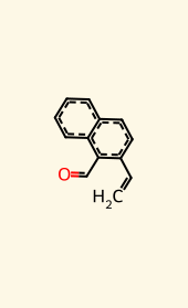 C=Cc1ccc2ccccc2c1C=O